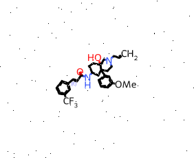 C=CCN1CCC2(c3cccc(OC)c3)CC(NC(=O)/C=C/c3cccc(C(F)(F)F)c3)CCC2(O)C1